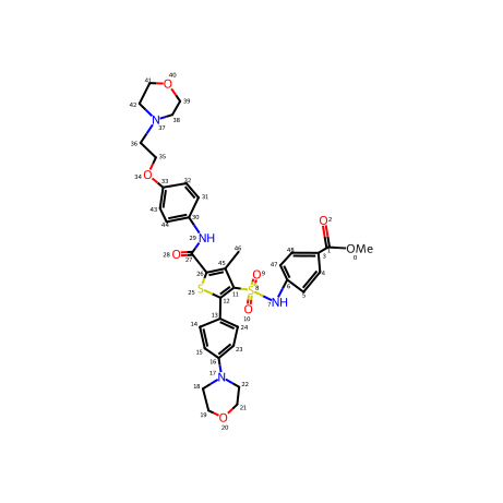 COC(=O)c1ccc(NS(=O)(=O)c2c(-c3ccc(N4CCOCC4)cc3)sc(C(=O)Nc3ccc(OCCN4CCOCC4)cc3)c2C)cc1